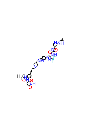 Cn1c(=O)n(C2CCC(=O)NC2=O)c2ccc(C#CCCN3CCC(CNCc4ccc(-n5cc(NC(=O)c6coc(-c7ccnc(NCC8CC8)c7)n6)c(C(F)F)n5)cc4)CC3)cc21